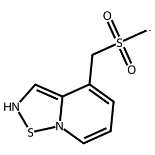 [CH2]S(=O)(=O)CC1=CC=CN2SNC=C12